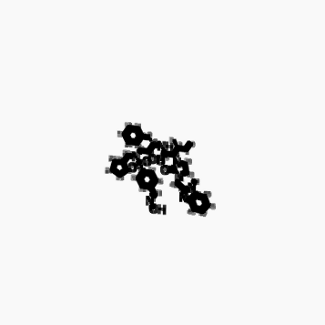 CC[C@H](C)[C@@H](C(=O)N[C@@H](Cc1ccccc1)[C@H](O)CN(CC1CCCC1)S(=O)(=O)c1ccc(C=NO)cc1)N1CCN(Cc2nc3ccccc3n2C)C1=O